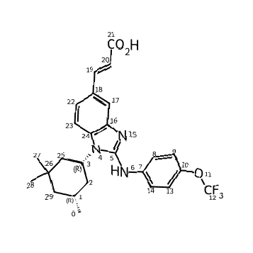 C[C@H]1C[C@@H](n2c(Nc3ccc(OC(F)(F)F)cc3)nc3cc(C=CC(=O)O)ccc32)CC(C)(C)C1